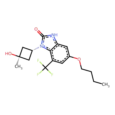 CCCCOc1cc(C(F)(F)F)c2c(c1)[nH]c(=O)n2[C@H]1C[C@](C)(O)C1